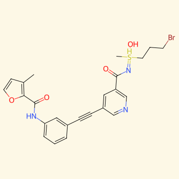 Cc1ccoc1C(=O)Nc1cccc(C#Cc2cncc(C(=O)N=[SH](C)(O)CCCBr)c2)c1